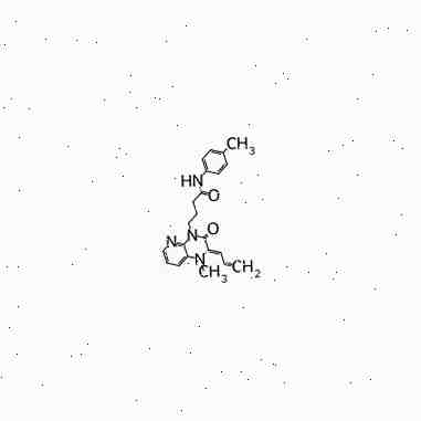 C=C/C=C1/C(=O)N(CCCC(=O)Nc2ccc(C)cc2)c2ncccc2N1C